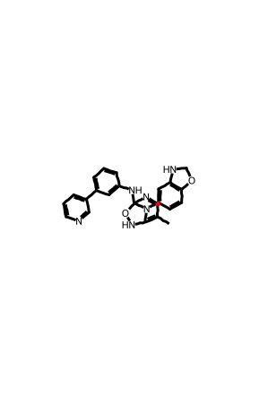 CC1=C2NOC(Nc3cccc(-c4cccnc4)c3)(N=C1)N2c1ccc2c(c1)NCO2